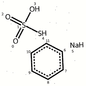 O=S(=O)(O)S.[NaH].c1ccccc1